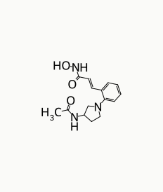 CC(=O)NC1CCN(c2ccccc2/C=C/C(=O)NO)C1